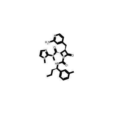 CCC[C@@H](NC(=O)N1C(=O)[C@H](Cc2ccnc(N)c2)[C@H]1C(=O)N(C)c1nccn1C)c1cccc(C)c1